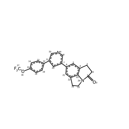 O=C1CCc2cc(-c3cncc(-c4ccc(OC(F)(F)F)cc4)c3)cc3c2N1CC3